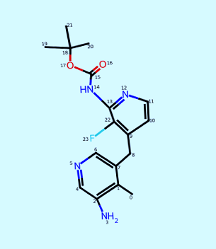 Cc1c(N)cncc1Cc1ccnc(NC(=O)OC(C)(C)C)c1F